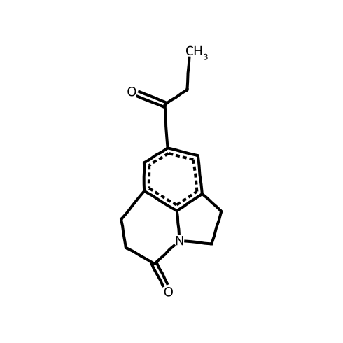 CCC(=O)c1cc2c3c(c1)CCN3C(=O)CC2